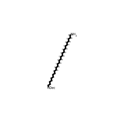 CCCCCCCCCCCCCCCCCCCCCCCCCCCCCCCCCCCCCCCN